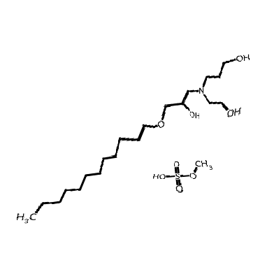 CCCCCCCCCCCCOCC(O)CN(CCO)CCCO.COS(=O)(=O)O